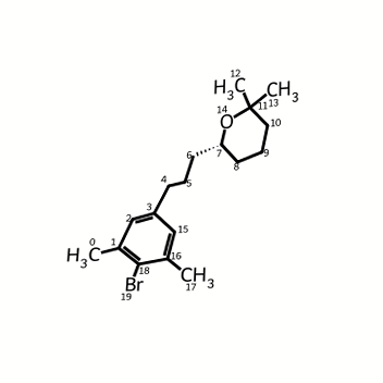 Cc1cc(CCC[C@H]2CCCC(C)(C)O2)cc(C)c1Br